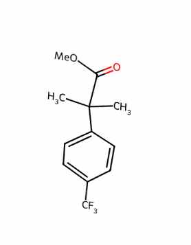 COC(=O)C(C)(C)c1ccc(C(F)(F)F)cc1